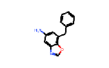 Nc1cc(Cc2ccccc2)c2ocnc2c1